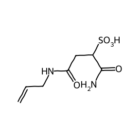 C=CCNC(=O)CC(C(N)=O)S(=O)(=O)O